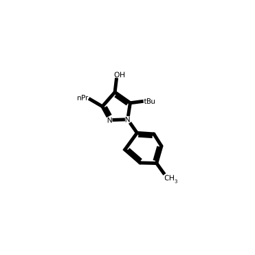 CCCc1nn(-c2ccc(C)cc2)c(C(C)(C)C)c1O